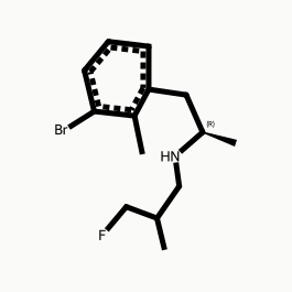 Cc1c(Br)cccc1C[C@@H](C)NCC(C)CF